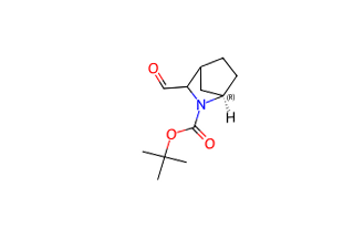 CC(C)(C)OC(=O)N1C(C=O)C2CC[C@@H]1C2